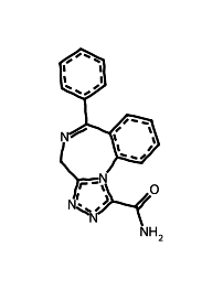 NC(=O)c1nnc2n1-c1ccccc1C(c1ccccc1)=NC2